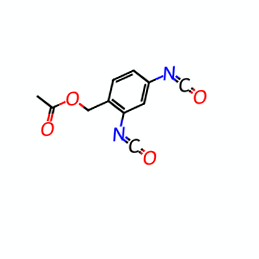 CC(=O)OCc1ccc(N=C=O)cc1N=C=O